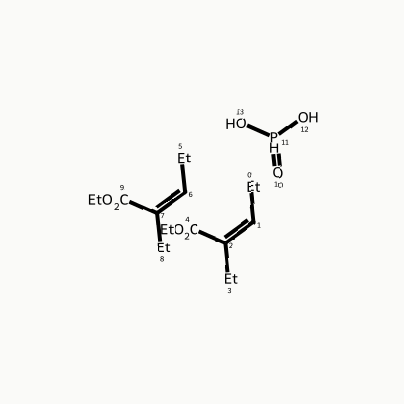 CCC=C(CC)C(=O)OCC.CCC=C(CC)C(=O)OCC.O=[PH](O)O